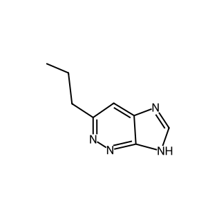 CCCc1cc2nc[nH]c2nn1